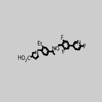 CCc1cc(C(C)=NOCc2c(F)cc(-c3ccc(F)nc3)cc2F)ccc1CN1CCC(C(=O)O)C1